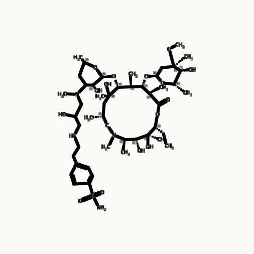 CC[C@H]1OC(=O)[C@H](C)[C@@H](O[C@H]2C[C@@](C)(OC)[C@@H](O)[C@H](C)O2)[C@H](C)[C@@H](O[C@@H]2O[C@H](C)CC(N(C)CC(O)CNCCc3ccc(S(N)(=O)=O)cc3)[C@H]2O)[C@](C)(O)C[C@@H](C)CN(C)[C@H](C)[C@@H](O)[C@]1(C)O